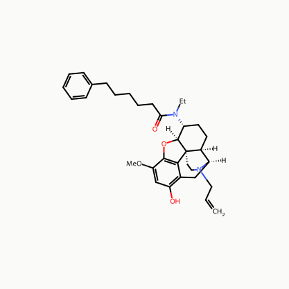 C=CCN1CC[C@]23c4c5c(O)cc(OC)c4O[C@H]2[C@H](N(CC)C(=O)CCCCCc2ccccc2)CC[C@H]3[C@H]1C5